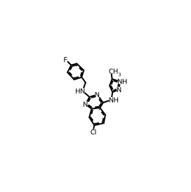 Cc1cc(Nc2nc(NCc3ccc(F)cc3)nc3cc(Cl)ccc23)n[nH]1